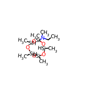 CCN(C)[Si]1(C)O[SiH](C)O[SiH](C)O[SiH](C)O[SiH](C)O1